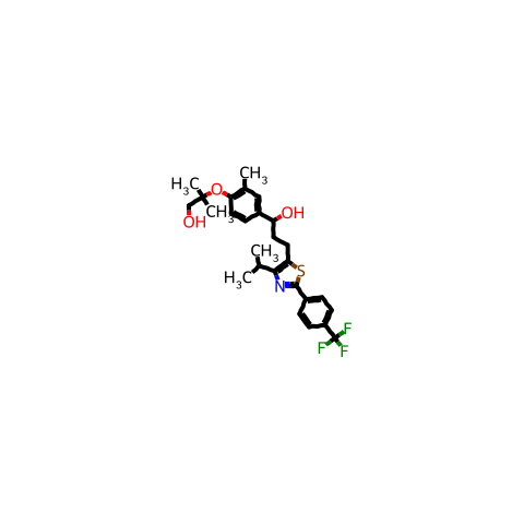 Cc1cc(C(O)CCc2sc(-c3ccc(C(F)(F)F)cc3)nc2C(C)C)ccc1OC(C)(C)CO